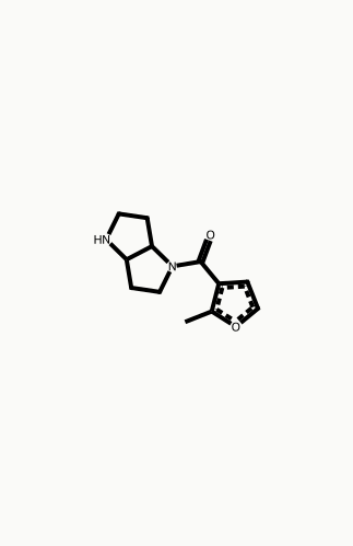 Cc1occc1C(=O)N1CCC2NCCC21